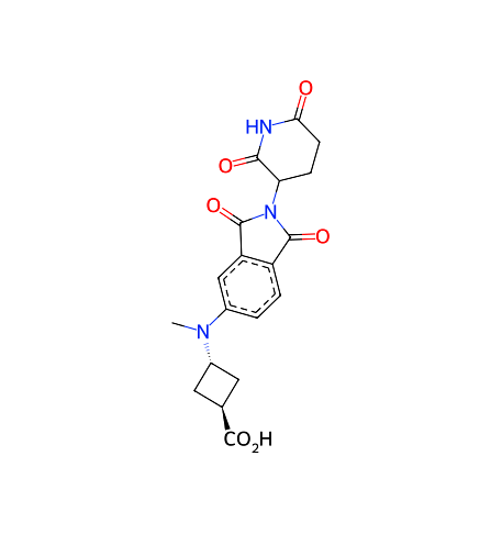 CN(c1ccc2c(c1)C(=O)N(C1CCC(=O)NC1=O)C2=O)[C@H]1C[C@H](C(=O)O)C1